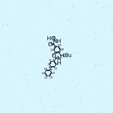 CC(C)(C)C(NC(=O)c1ccc(-c2ccccc2)cc1)c1ccc(C(=O)NO)cc1